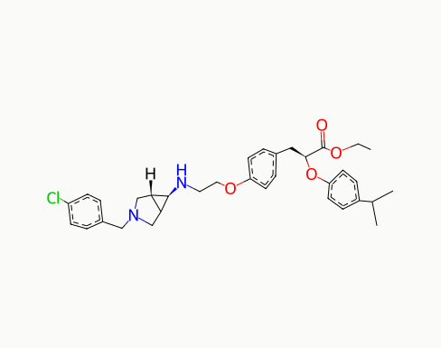 CCOC(=O)[C@H](Cc1ccc(OCCN[C@H]2C3CN(Cc4ccc(Cl)cc4)C[C@@H]32)cc1)Oc1ccc(C(C)C)cc1